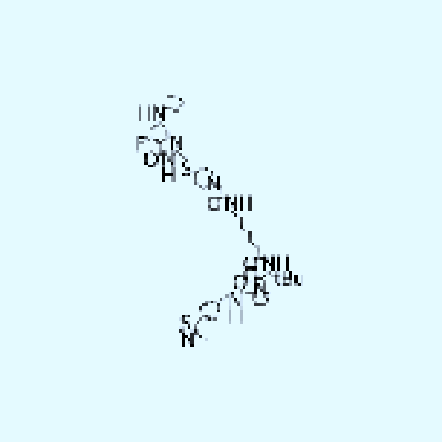 Cc1ncsc1-c1ccc(CNC(=O)C2CCCN2C(=O)C(NC(=O)CCCCCCNC(=O)CN2CCC(SCc3nc4cc(NC5CCCC5)cc(F)c4c(=O)[nH]3)CC2)C(C)(C)C)cc1